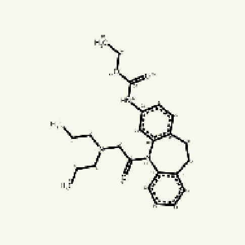 CCCN(CCC)CC(=O)N1c2ccccc2CCc2ccc(NC(=O)OCC)cc21